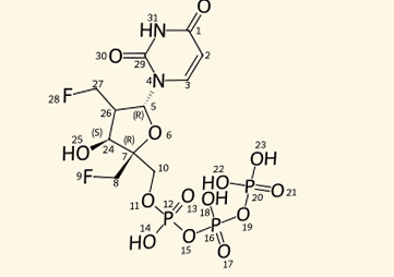 O=c1ccn([C@@H]2O[C@](CF)(COP(=O)(O)OP(=O)(O)OP(=O)(O)O)[C@@H](O)C2CF)c(=O)[nH]1